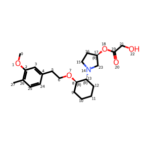 COc1cc(CCO[C@@H]2CCCC[C@H]2N2CC[C@@H](OC(=O)CO)C2)ccc1C